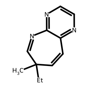 CCC1(C)C=Cc2nccnc2N=C1